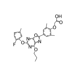 CCCOc1nc(Oc2cc(C)ccc2F)nc2oc(-c3cc(C)c(OCC(=O)O)c(C)c3)nc12